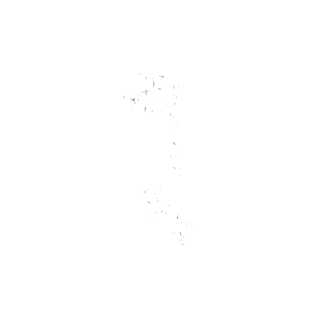 COc1cc(N2CCC(N3CCN(C(=O)CCCCc4cccc5c4C(=O)N(C4CCC(=O)NC4=O)C5=O)CC3)CC2)ccc1Nc1ncc(Cl)c(Nc2ccccc2P(C)(C)=O)n1